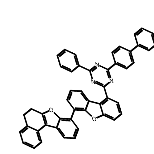 c1ccc(-c2ccc(-c3nc(-c4ccccc4)nc(-c4cccc5oc6c(-c7cccc8c9c(oc78)CCc7ccccc7-9)cccc6c45)n3)cc2)cc1